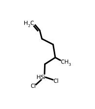 C=CCCC(C)C[SiH](Cl)Cl